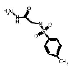 Cc1ccc(S(=O)(=O)NCC(=O)NN)cc1